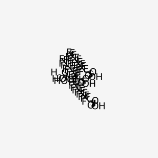 CCC(CO)(CO)CO.O=S(=O)(O)CCC(F)(F)C(F)(F)C(F)(F)C(F)(F)C(F)(F)C(F)(F)C(F)(F)C(F)(F)F.O=S(=O)(O)CCC(F)(F)C(F)(F)C(F)(F)C(F)(F)C(F)(F)C(F)(F)C(F)(F)C(F)(F)F.O=S(=O)(O)CCC(F)(F)C(F)(F)C(F)(F)C(F)(F)C(F)(F)C(F)(F)C(F)(F)C(F)(F)F